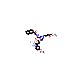 CCC(=O)CCCN1CCN(C(=O)Cc2c(C)[nH]c3ccc(OC)cc23)C(C(=O)NCC(=O)c2ccc3ccccc3c2)C1